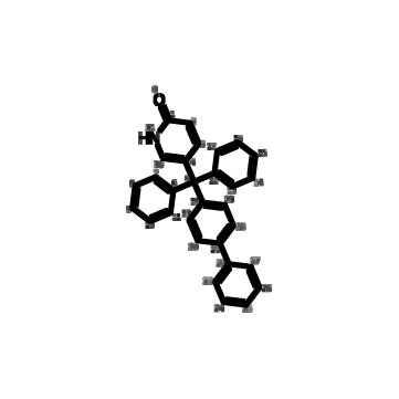 O=c1ccc(C(c2ccccc2)(c2ccccc2)c2ccc(-c3ccccc3)cc2)c[nH]1